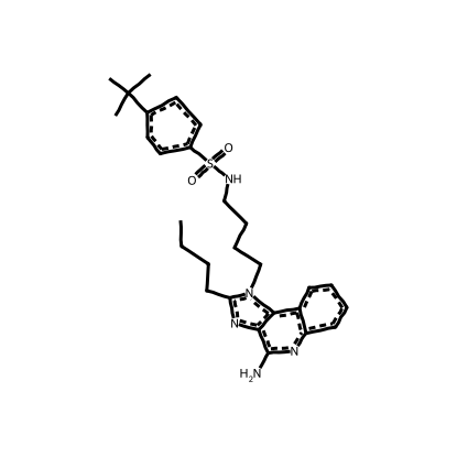 CCCCc1nc2c(N)nc3ccccc3c2n1CCCCNS(=O)(=O)c1ccc(C(C)(C)C)cc1